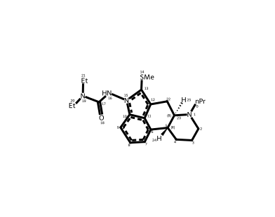 CCCN1CCC[C@@H]2c3cccc4c3c(c(SC)n4NC(=O)N(CC)CC)C[C@H]21